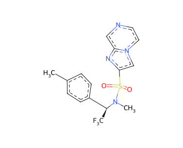 Cc1ccc([C@@H](N(C)S(=O)(=O)c2cn3ccncc3n2)C(F)(F)F)cc1